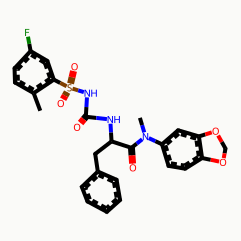 Cc1ccc(F)cc1S(=O)(=O)NC(=O)NC(Cc1ccccc1)C(=O)N(C)c1ccc2c(c1)OCO2